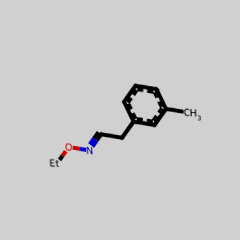 CCON=CCc1cc[c]c(C)c1